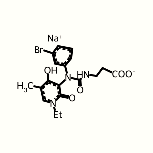 CCn1cc(C)c(O)c(N(C(=O)NCCC(=O)[O-])c2cccc(Br)c2)c1=O.[Na+]